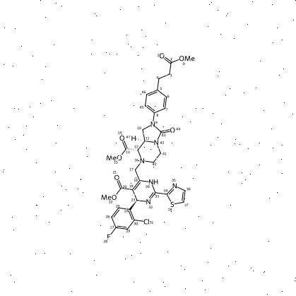 COC(=O)CCc1ccc(N2C[C@@H]3[C@@H](C(=O)OC)N(CC4=C(C(=O)OC)[C@H](c5ccc(F)cc5Cl)N=C(c5nccs5)N4)CCN3C2=O)cc1